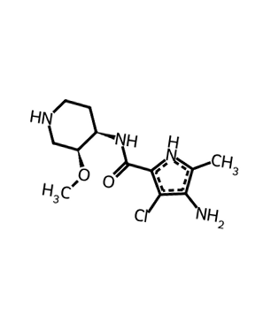 CO[C@H]1CNCC[C@H]1NC(=O)c1[nH]c(C)c(N)c1Cl